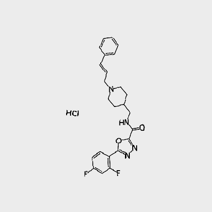 Cl.O=C(NCC1CCN(C/C=C/c2ccccc2)CC1)c1nnc(-c2ccc(F)cc2F)o1